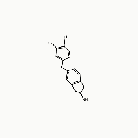 NC1Cc2ccc(Cc3ccc(Cl)c(Cl)c3)cc2C1